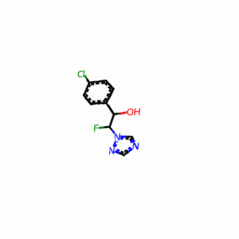 OC(c1ccc(Cl)cc1)C(F)n1cncn1